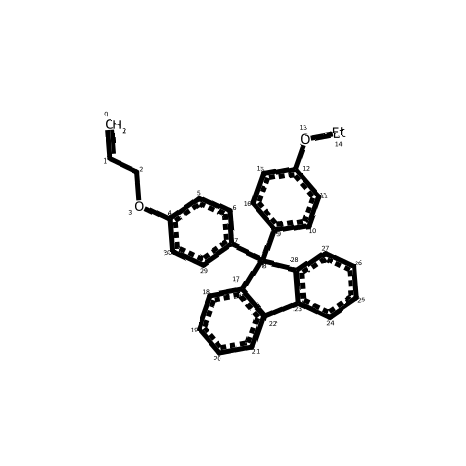 C=CCOc1ccc(C2(c3ccc(OCC)cc3)c3ccccc3-c3ccccc32)cc1